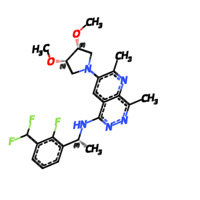 CO[C@H]1CN(c2cc3c(N[C@H](C)c4cccc(C(F)F)c4F)nnc(C)c3nc2C)C[C@H]1OC